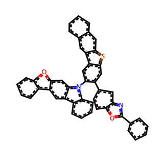 c1ccc(-c2nc3cc(-c4cc5sc6cc7ccccc7cc6c5cc4-n4c5ccccc5c5cc6c(cc54)oc4ccccc46)ccc3o2)cc1